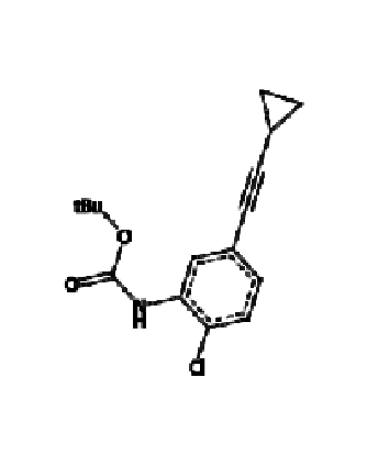 CC(C)(C)OC(=O)Nc1cc(C#CC2CC2)ccc1Cl